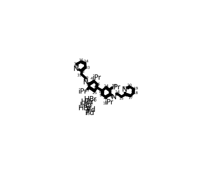 Br.Br.Br.Br.CC(C)c1cc(-c2cc(C(C)C)c(N=CCc3ccccn3)c(C(C)C)c2)cc(C(C)C)c1N=CCc1ccccn1.[Pd].[Pd]